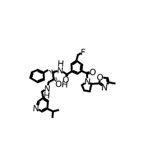 Cc1coc(C2CCCN2C(=O)c2cc(CF)cc(C(=O)N[C@@H](Cc3ccccc3)[C@H](O)CNCc3cncc(C(C)C)c3)c2)n1